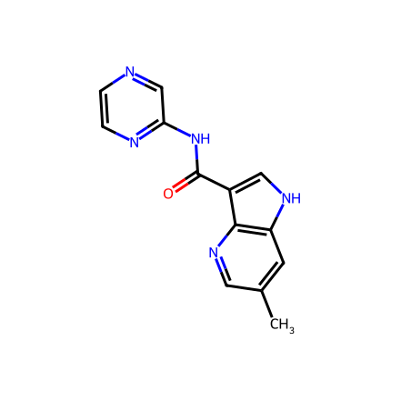 Cc1cnc2c(C(=O)Nc3cnccn3)c[nH]c2c1